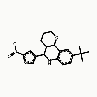 CC(C)(C)c1ccc2c(c1)C1OCCCC1C(c1csc([N+](=O)[O-])c1)N2